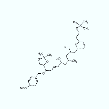 C=C(CC(O)C=CCC(OCc1ccc(OC)cc1)C1COC(C)(C)O1)CC(C)CC1CC=CC(CCO[Si](C)(C)C(C)(C)C)O1